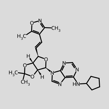 Cc1noc(C)c1C=C[C@H]1O[C@@H](n2cnc3c(NC4CCCC4)ncnc32)[C@@H]2OC(C)(C)O[C@@H]21